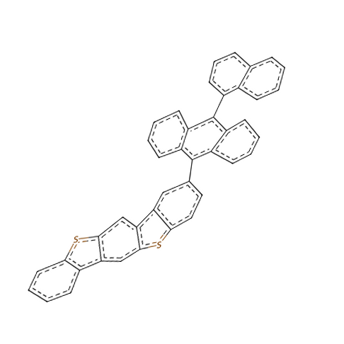 c1ccc2c(-c3c4ccccc4c(-c4ccc5sc6cc7c(cc6c5c4)sc4ccccc47)c4ccccc34)cccc2c1